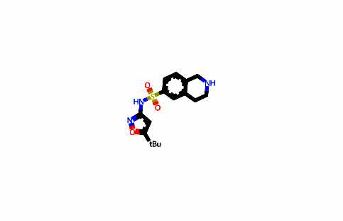 CC(C)(C)c1cc(NS(=O)(=O)c2ccc3c(c2)CCNC3)no1